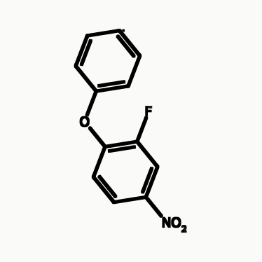 O=[N+]([O-])c1ccc(Oc2cc[c]cc2)c(F)c1